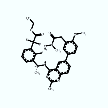 CCOC(=O)C(F)(F)c1cccc([C@@H](C)Nc2nc(C)nc3ccc(-c4ccc(OC)c(CC(=O)N(C)C)c4)cc23)c1F